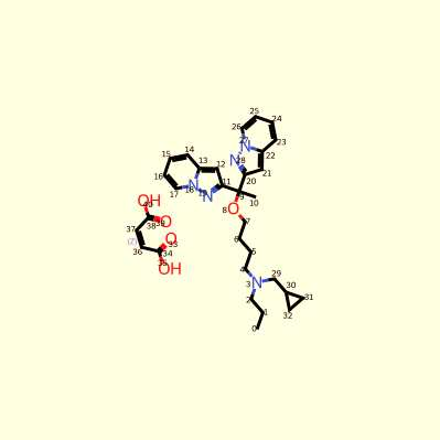 CCCN(CCCCOC(C)(c1cc2ccccn2n1)c1cc2ccccn2n1)CC1CC1.O=C(O)/C=C\C(=O)O